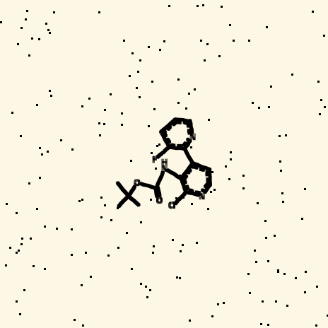 CC(C)(C)OC(=O)Nc1c(-c2ncccc2F)ccnc1Cl